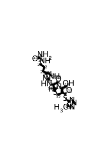 Cn1nnnc1SCC1=C(C(=O)O)N2C(=O)C(Nc3nc(CCCNC(N)=O)c[nH]3)[C@H]2SC1